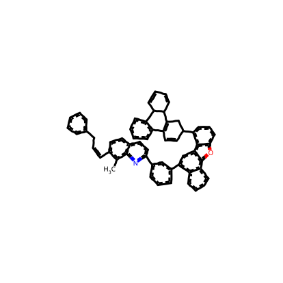 Cc1c(/C=C\Cc2ccccc2)ccc2ccc(-c3cccc(-c4cc5c(oc6cccc(C7C=CC8=C(C7)C7C=CC=CC7c7ccccc78)c65)c5ccccc45)c3)nc12